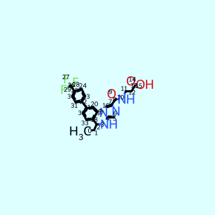 CCC(Nc1cnc(C(=O)NCCC(=O)O)cn1)c1ccc(-c2ccc(C(F)(F)F)cc2)cc1